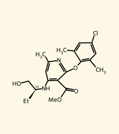 CC[C@@H](CO)Nc1cc(C)nc(Oc2c(C)cc(Cl)cc2C)c1C(=O)OC